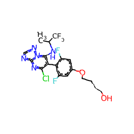 CC(Nc1c(-c2c(F)cc(OCCCCO)cc2F)c(Cl)nc2ncnn12)C(F)(F)F